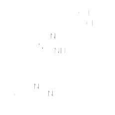 CC1(C)c2ccccc2-c2c(C3=NC(c4ccccc4)=NC(c4ccc(-n5c6ccccc6c6cccnc65)cc4)N3)cccc21